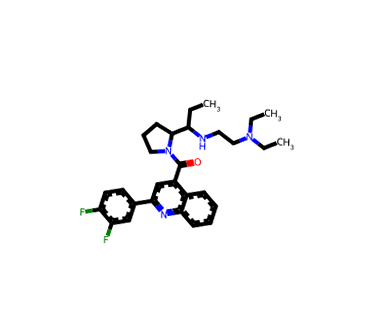 CCC(NCCN(CC)CC)C1CCCN1C(=O)c1cc(-c2ccc(F)c(F)c2)nc2ccccc12